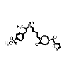 CCCN(CCCCN1CCN(C(=O)c2ccno2)CCC1=O)C(C)Cc1ccc(S(C)(=O)=O)cc1